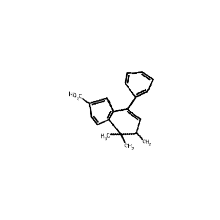 CC1C=C(c2ccccc2)c2cc(C(=O)O)ccc2C1(C)C